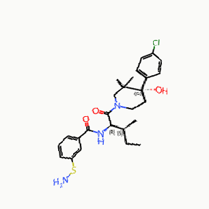 CC[C@H](C)[C@@H](NC(=O)c1cccc(SN)c1)C(=O)N1CC[C@](O)(c2ccc(Cl)cc2)C(C)(C)C1